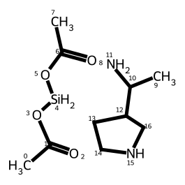 CC(=O)O[SiH2]OC(C)=O.CC(N)C1CCNC1